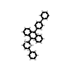 c1ccc(-c2ccc(-c3c4ccccc4c(-c4nccc(-c5ccccc5)n4)c4ccccc34)cc2)cc1